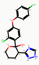 OC1(c2ccc(Oc3ccc(Cl)cc3)cc2Cl)OCCCC1c1nc[nH]n1